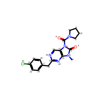 Cn1c(=O)n(C(=O)N2CCCC2)c2cnc(Cc3ccc(Cl)cc3)nc21